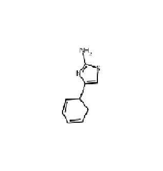 Nc1nc(C2C=CC=CC2)cs1